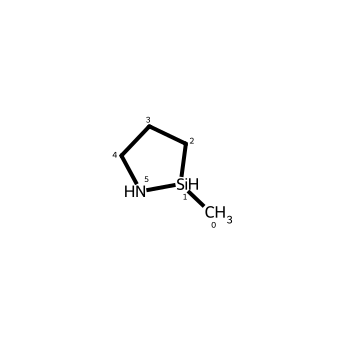 C[SiH]1CCCN1